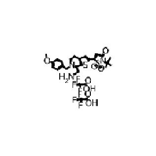 COc1ccc(CN2CCc3cc(C4=CC(=O)N(C(C)(C)C)S4(=O)=O)sc3C2CN)cc1.O=C(O)C(F)(F)F.O=C(O)C(F)(F)F